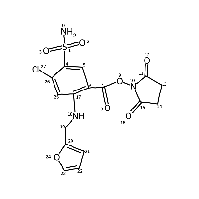 NS(=O)(=O)c1cc(C(=O)ON2C(=O)CCC2=O)c(NCc2ccco2)cc1Cl